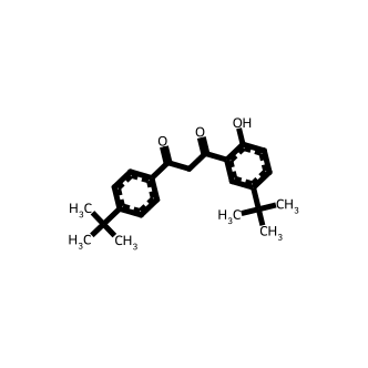 CC(C)(C)c1ccc(C(=O)CC(=O)c2cc(C(C)(C)C)ccc2O)cc1